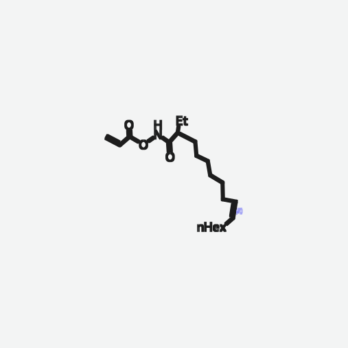 C=CC(=O)ONC(=O)C(CC)CCCCCC/C=C\CCCCCC